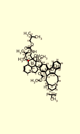 CC[C@]12C=CCN3CC[C@@]4(c5cc([C@@]6(C(=O)OC)C[C@@H]7C[C@@H](C(C)(F)F)CN(CCc8c6[nH]c6ccccc86)C7)c(OC)cc5N(C)[C@H]4C(O)(CNC(=O)OCC(C)C)[C@@H]1OC(C)=O)[C@@H]32